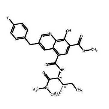 CC[C@H](C)[C@H](NC(=O)c1cc(C(=O)OC)c(O)c2ncc(Cc3ccc(F)cc3)cc12)C(=O)N(C)C